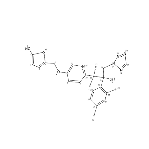 N#Cc1ccc(COc2ccc(C(F)(F)C(O)(Cn3ncnn3)c3ccc(F)cc3F)nc2)s1